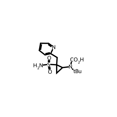 CC(C)(C)N(C(=O)O)C1CC1(Cc1ccccn1)S(N)(=O)=O